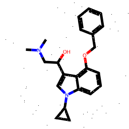 CN(C)CC(O)c1cn(C2CC2)c2cccc(OCc3ccccc3)c12